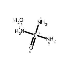 NP(N)(N)=O.O